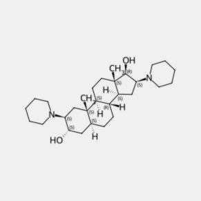 C[C@]12C[C@H](N3CCCCC3)[C@@H](O)C[C@@H]1CC[C@@H]1[C@@H]2CC[C@]2(C)[C@@H](O)[C@@H](N3CCCCC3)C[C@@H]12